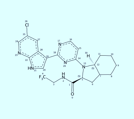 O=C(NCC(F)(F)F)[C@@H]1CC2CCCC[C@@H]2N1c1ccnc(-c2c[nH]c3ncc(Cl)cc23)n1